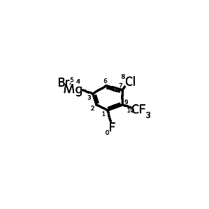 Fc1c[c]([Mg][Br])cc(Cl)c1C(F)(F)F